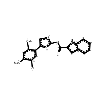 COc1cc(OC)c(-c2csc(NC(=O)c3cc4ccccc4[nH]3)n2)cc1Cl